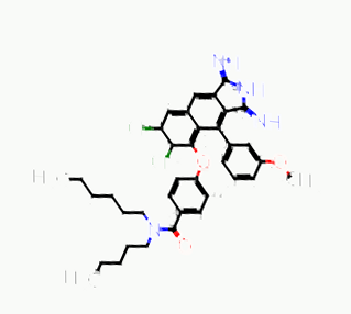 CCCCCCN(CCCCC)C(=O)c1ccc(OC2=c3c(-c4cccc(OC)c4)c4c(cc3=CC(Cl)C2Cl)C(=N)NC4=N)cc1